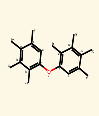 Cc1cc(Oc2cc(C)c(C)c(C)c2C)c(C)c(C)c1C